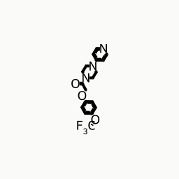 O=C(COc1ccc(OC(F)(F)F)cc1)N1CCN(c2ccncc2)CC1